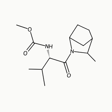 COC(=O)N[C@H](C(=O)N1C2CCC(C2)C1C)C(C)C